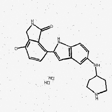 Cl.Cl.O=C1NCc2c(Cl)ccc(-c3cc4cc(NC5CCNCC5)ccc4[nH]3)c21